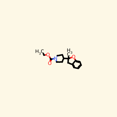 CCOC(=O)N1CCC(C2(C)Cc3ccccc3O2)CC1